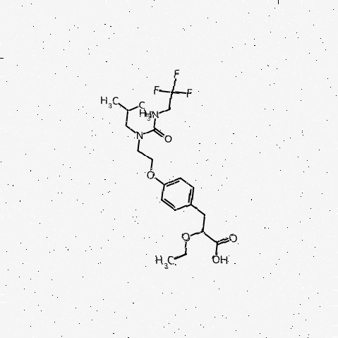 CCOC(Cc1ccc(OCCN(CC(C)C)C(=O)NCC(F)(F)F)cc1)C(=O)O